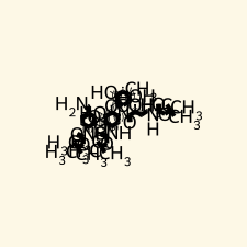 CC(C)(C)OC(=O)NCC[C@H](O)C(=O)N[C@@H]1C[C@H](NC(=O)OC(C)(C)C)[C@@H](O[C@H]2OC(CN)=CC[C@H]2NC(=O)OC(C)(C)C)[C@H](O)[C@H]1O[C@H]1OC[C@](C)(O)[CH][C@H]1O